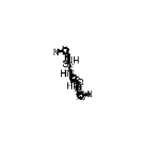 N#Cc1cccc(C=NNC(=O)CCCNc2ccc(C(=O)NN=Cc3cccc(C#N)c3)cc2)c1